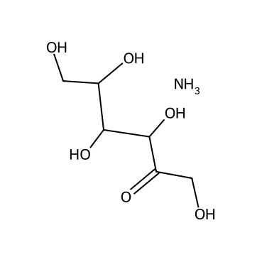 N.O=C(CO)C(O)C(O)C(O)CO